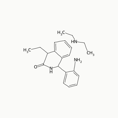 CCC1C(=O)NC(c2ccccc2N)c2ccccc21.CCNCC